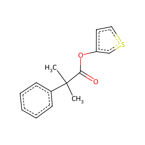 CC(C)(C(=O)Oc1ccsc1)c1ccccc1